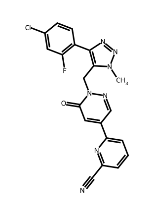 Cn1nnc(-c2ccc(Cl)cc2F)c1Cn1ncc(-c2cccc(C#N)n2)cc1=O